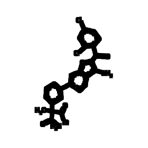 CCC(=O)C(C)(C(N)=O)c1cccc(-c2ccc3c(N)c(C(=O)c4ccc(Cl)cc4Cl)oc3c2)c1